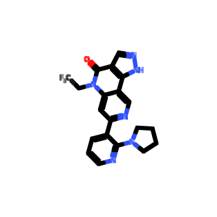 O=c1c2cn[nH]c2c2cnc(-c3cccnc3N3CCCC3)cc2n1CC(F)(F)F